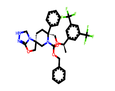 C[C@@H](OC[C@@]1(c2ccccc2)CC[C@@]2(COC3=NNCN32)CN1C(=O)OCc1ccccc1)c1cc(C(F)(F)F)cc(C(F)(F)F)c1